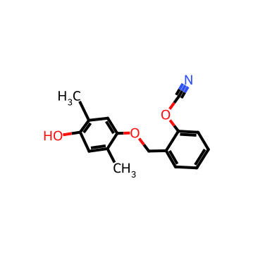 Cc1cc(OCc2ccccc2OC#N)c(C)cc1O